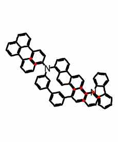 c1ccc(-c2ccc3c(ccc4c(N(c5ccc(-c6cccc7cccc(-c8ccccc8)c67)cc5)c5cccc(-c6cccc(-c7ccc(-n8c9ccccc9c9ccccc98)cc7)c6)c5)cccc43)c2)cc1